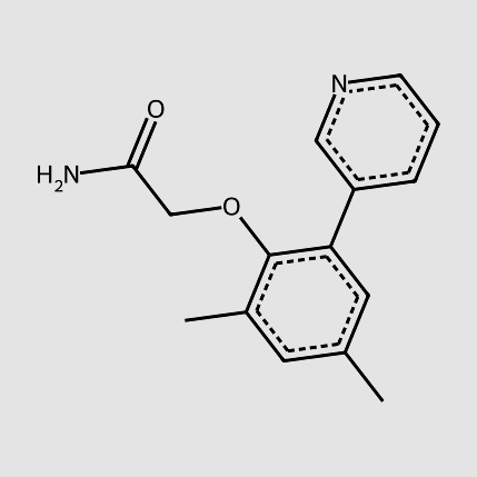 Cc1cc(C)c(OCC(N)=O)c(-c2cccnc2)c1